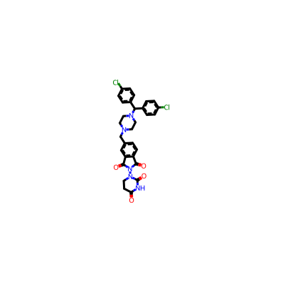 O=C1CCN(N2C(=O)c3ccc(CN4CCN(C(c5ccc(Cl)cc5)c5ccc(Cl)cc5)CC4)cc3C2=O)C(=O)N1